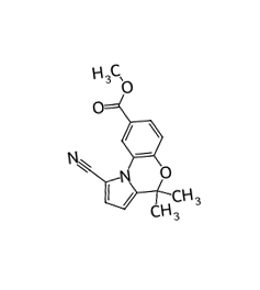 COC(=O)c1ccc2c(c1)-n1c(C#N)ccc1C(C)(C)O2